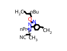 C=CC[C@@H](CCCC)COc1nc2c(c(N(CCC)CC(C)CC#N)n1)CCC(C=C)C2